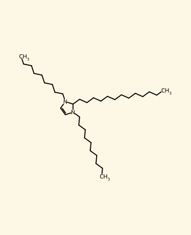 CCCCCCCCCCCCCC1N(CCCCCCCCC)C=CN1CCCCCCCCCC